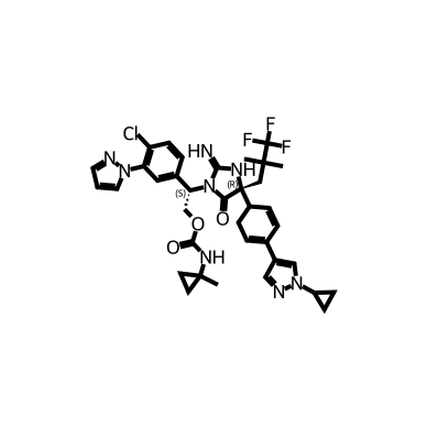 CC1(NC(=O)OC[C@H](c2ccc(Cl)c(-n3cccn3)c2)N2C(=N)N[C@](CC(C)(C)C(F)(F)F)(C3C=CC(c4cnn(C5CC5)c4)=CC3)C2=O)CC1